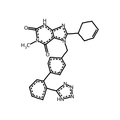 Cn1c(=O)[nH]c2nc(C3CC=CCC3)n(Cc3ccc(-c4ccccc4-c4nnn[nH]4)cc3)c2c1=O